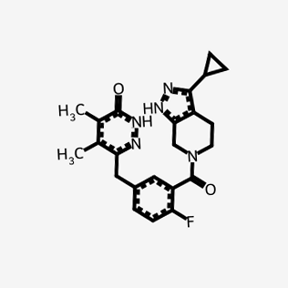 Cc1c(Cc2ccc(F)c(C(=O)N3CCc4c(C5CC5)n[nH]c4C3)c2)n[nH]c(=O)c1C